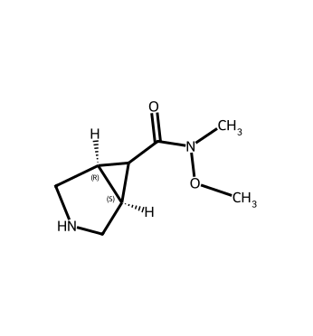 CON(C)C(=O)C1[C@H]2CNC[C@@H]12